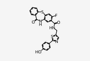 O=C(NCc1cnc(-c2ccc(O)cc2)s1)c1cc2c(cc1F)Sc1ccccc1C(=O)N2